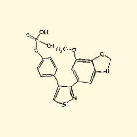 COc1cc(-c2nscc2-c2ccc(OP(=O)(O)O)cc2)cc2c1OCO2